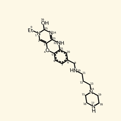 CCN1C=C2Oc3ccc(CNCCCN4CCNCC4)cc3NC2=NC1O